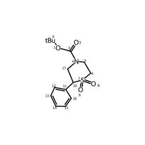 CC(C)(C)OC(=O)N1CCS(=O)(=O)C(c2ccccc2)C1